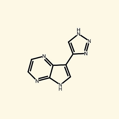 c1cnc2c(-c3c[nH]nn3)c[nH]c2n1